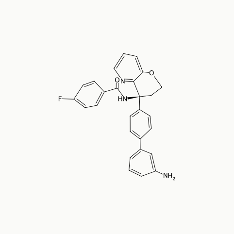 Nc1cccc(-c2ccc([C@@]3(NC(=O)c4ccc(F)cc4)CCOc4cccnc43)cc2)c1